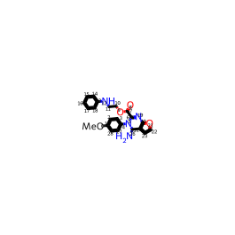 COc1ccc(N2C(C(=O)OCCNc3ccccc3)=Nc3occc3C2N)cc1